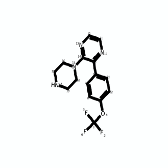 FC(F)(F)Oc1ccc(-c2nccnc2N2CCNCC2)cc1